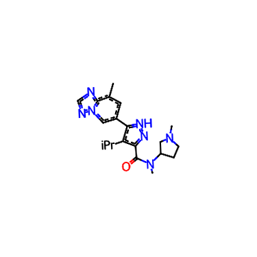 Cc1cc(-c2[nH]nc(C(=O)N(C)C3CCN(C)C3)c2C(C)C)cn2ncnc12